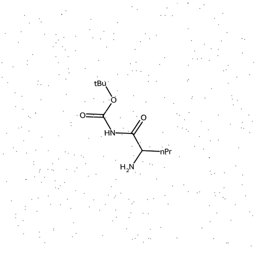 CCCC(N)C(=O)NC(=O)OC(C)(C)C